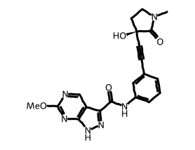 COc1ncc2c(C(=O)Nc3cccc(C#C[C@]4(O)CCN(C)C4=O)c3)n[nH]c2n1